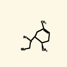 CC(=O)N(CC(C)(C)C)C1CC(C)=CC[C@H]1C